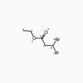 CCOC(=O)CC(Br)Br